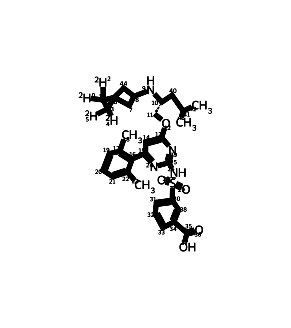 [2H]C1([2H])C([2H])([2H])C12CC(N[C@@H](COc1cc(-c3c(C)cccc3C)nc(NS(=O)(=O)c3cccc(C(=O)O)c3)n1)CC(C)C)C2